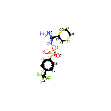 N/C(=N/OS(=O)(=O)c1ccc(C(F)(F)F)cc1)C1CSCCS1